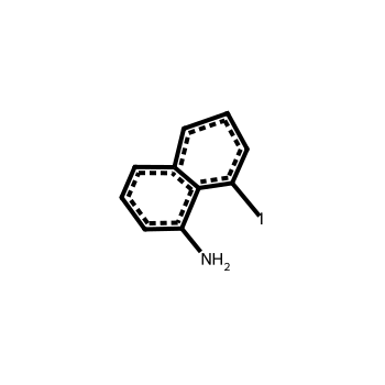 Nc1cccc2cccc(I)c12